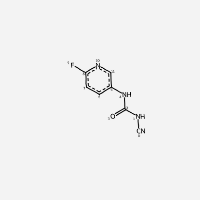 N#CNC(=O)Nc1ccc(F)nc1